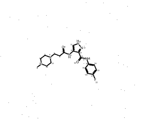 CN1CCN(CCC(=O)Nc2c[nH]nc2C(=O)Nc2ccc(F)cc2)CC1